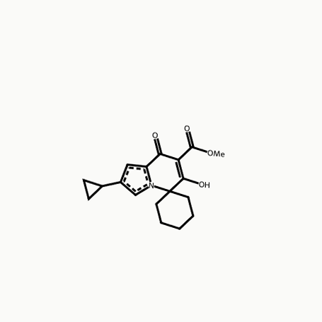 COC(=O)C1=C(O)C2(CCCCC2)n2cc(C3CC3)cc2C1=O